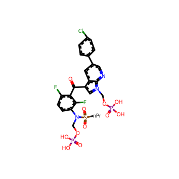 CCCS(=O)(=O)N(COP(=O)(O)O)c1ccc(F)c(C(=O)c2cn(COP(=O)(O)O)c3ncc(-c4ccc(Cl)cc4)cc23)c1F